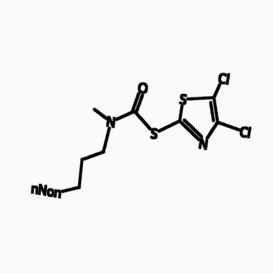 CCCCCCCCCCCCN(C)C(=O)Sc1nc(Cl)c(Cl)s1